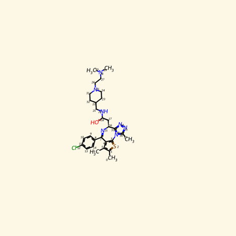 Cc1sc2c(c1C)C(c1ccc(Cl)cc1)=N[C@@H](CC(O)NCC1CCN(CCN(C)C)CC1)c1nnc(C)n1-2